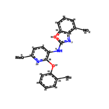 COc1ccc(Nc2nc3c([N+](=O)[O-])cccc3o2)c(Oc2ccccc2C(C)(C)C)n1